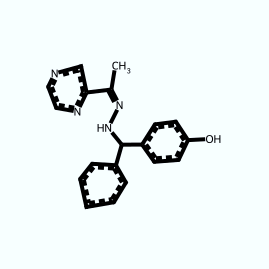 CC(=NNC(c1ccccc1)c1ccc(O)cc1)c1cnccn1